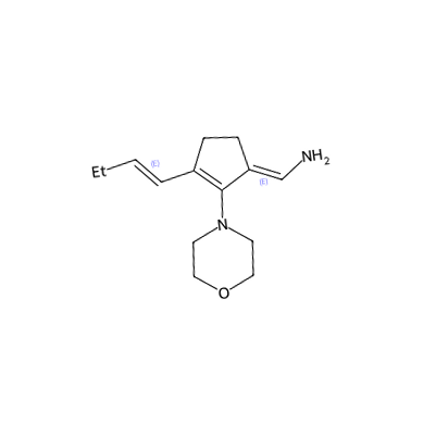 CC/C=C/C1=C(N2CCOCC2)C(=C/N)/CC1